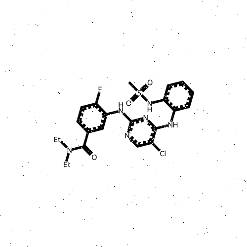 CCN(CC)C(=O)c1ccc(F)c(Nc2ncc(Cl)c(Nc3ccccc3NS(C)(=O)=O)n2)c1